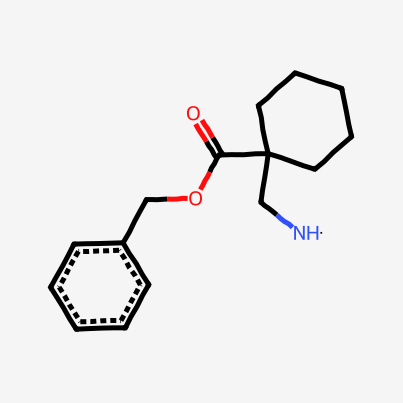 [NH]CC1(C(=O)OCc2ccccc2)CCCCC1